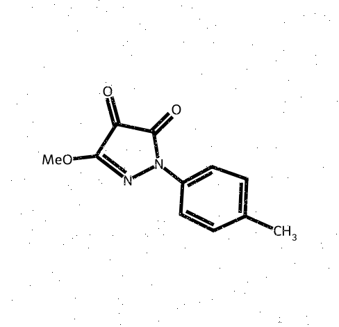 COC1=NN(c2ccc(C)cc2)C(=O)C1=O